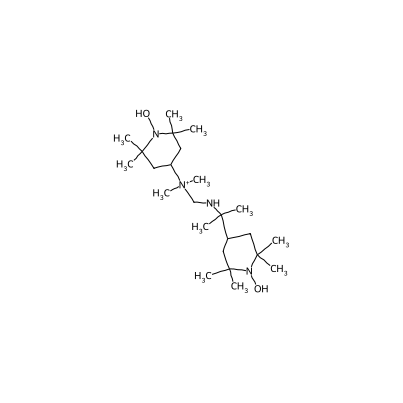 CC(C)(NC[N+](C)(C)C1CC(C)(C)N(O)C(C)(C)C1)C1CC(C)(C)N(O)C(C)(C)C1